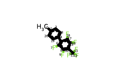 Cc1ccc(-c2c(F)c(F)c(C(F)(F)F)c(F)c2F)cc1